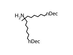 CCCCCCCCCCCCCCCCC(C)(N)CCCCCCCCCCCCCCCC